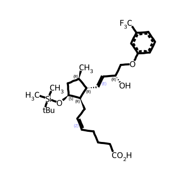 C[C@@H]1C[C@H](O[Si](C)(C)C(C)(C)C)[C@H](C/C=C\CCCC(=O)O)[C@H]1/C=C/[C@@H](O)COc1cccc(C(F)(F)F)c1